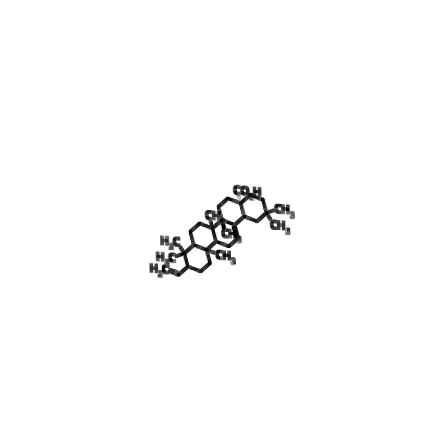 C=CC1CCC2(C)C(CCC3(C)C2CC=C2C4CC(C)(C)CC[C@]4(C(=O)O)CC[C@]23C)C1(C)C